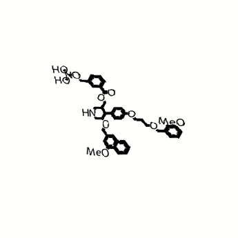 COc1ccccc1COCCCOc1ccc(C2C(COC(=O)c3cccc(CON(O)O)c3)CNCC2OCc2cc(OC)c3ccccc3c2)cc1